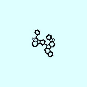 C1=CC2c3c(ccc4ccccc34)N(c3ccc4c(c3)c3cccc5nc(-c6ccccc6)c4n53)C2c2c1oc1ccccc21